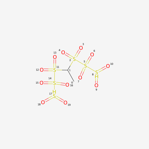 CC(S(=O)(=O)S(=O)(=O)[SH](=O)=O)S(=O)(=O)S(=O)(=O)[SH](=O)=O